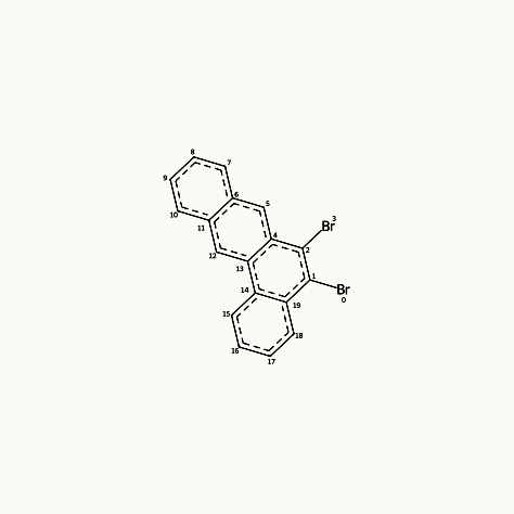 Brc1c(Br)c2cc3ccccc3cc2c2ccccc12